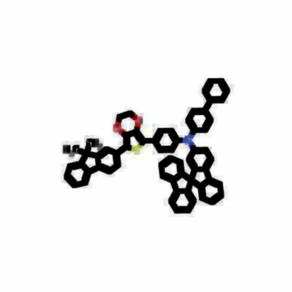 CC1(C)c2ccccc2-c2ccc(-c3sc(-c4ccc(N(c5ccc(-c6ccccc6)cc5)c5ccc6c(c5)C5(c7ccccc7-c7ccccc75)c5ccccc5-6)cc4)c4c3OCCO4)cc21